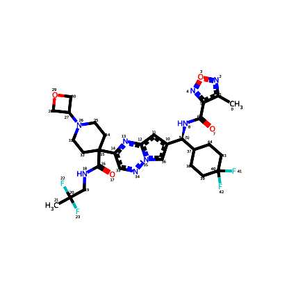 Cc1nonc1C(=O)N[C@H](c1cc2nc(C3(C(=O)NCC(C)(F)F)CCN(C4COC4)CC3)cnn2c1)C1CCC(F)(F)CC1